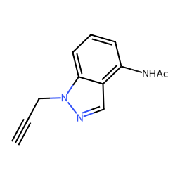 C#CCn1ncc2c(NC(C)=O)cccc21